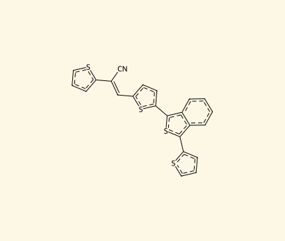 N#C/C(=C\c1ccc(-c2sc(-c3cccs3)c3ccccc23)s1)c1cccs1